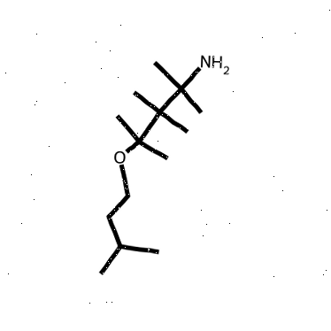 CC(C)CCOC(C)(C)C(C)(C)C(C)(C)N